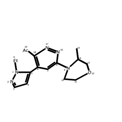 CCn1nccc1-c1cc(N2CCOCC2C)nnc1C(C)=O